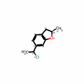 CC(Cl)c1ccc2c(c1)O[C@H](C)C2